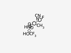 Cc1cc(S(=O)(=O)N[C@H]2C[C@](O)(C(F)(F)F)C2)ccc1-c1ccc(F)c(C#N)n1